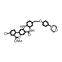 COC(=O)c1cc(Cl)ccc1-c1ccc2c(c1)Nc1ccc(CCOc3ccc(N4CCOCC4)cc3)cc1NC2=O